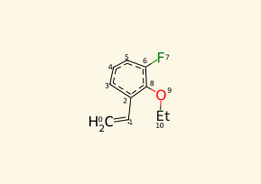 C=[C]c1cccc(F)c1OCC